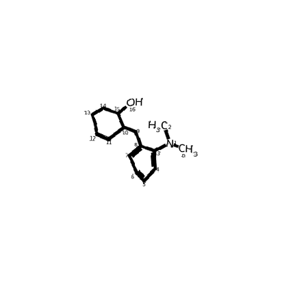 CN(C)c1ccccc1CC1CCCCC1O